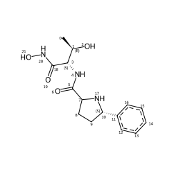 C[C@@H](O)[C@H](NC(=O)C1CC[C@@H](c2ccccc2)N1)C(=O)NO